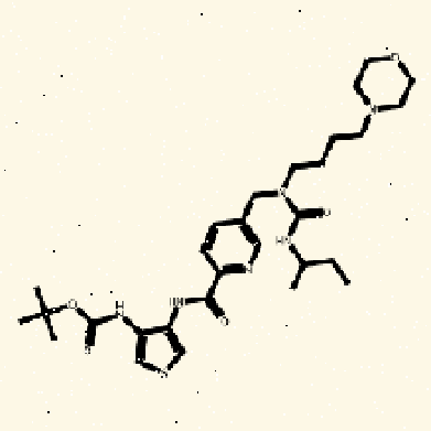 CCC(C)NC(=O)N(CCCCN1CCOCC1)Cc1ccc(C(=O)Nc2cscc2NC(=O)OC(C)(C)C)nc1